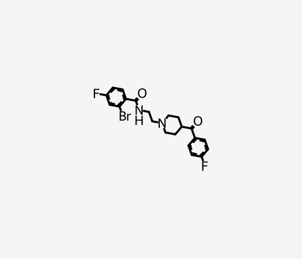 O=C(NCCN1CCC(C(=O)c2ccc(F)cc2)CC1)c1ccc(F)cc1Br